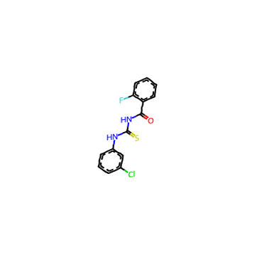 O=C(NC(=S)Nc1cccc(Cl)c1)c1ccccc1F